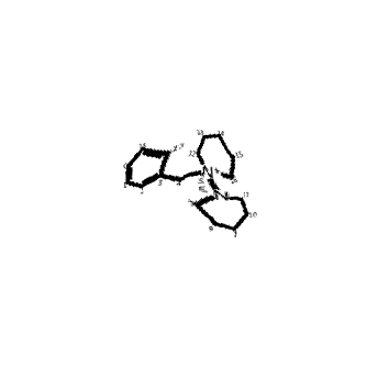 c1ccc(C[N+]2(N3CCCCC3)CCCCC2)cc1